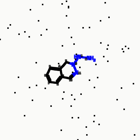 NNN1Cc2ccccc2C=N1